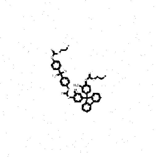 CCC(C)(c1ccc(OC(=O)OCCF)cc1)c1ccc(OC(=O)Oc2ccc(C3(c4ccc(OC(=O)OCCF)c(C)c4)c4ccccc4-c4ccccc43)cc2C)cc1